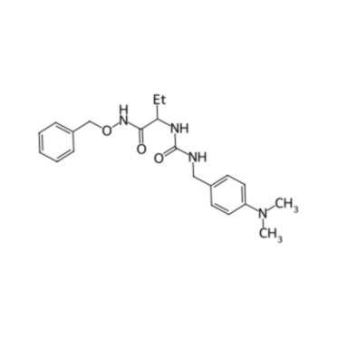 CCC(NC(=O)NCc1ccc(N(C)C)cc1)C(=O)NOCc1ccccc1